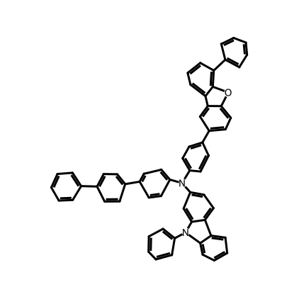 c1ccc(-c2ccc(-c3ccc(N(c4ccc(-c5ccc6oc7c(-c8ccccc8)cccc7c6c5)cc4)c4ccc5c6ccccc6n(-c6ccccc6)c5c4)cc3)cc2)cc1